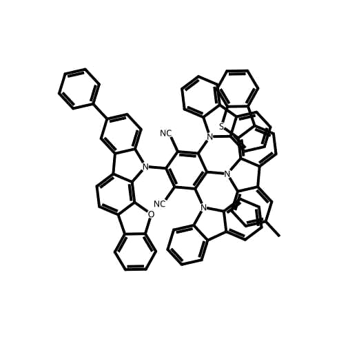 Cc1ccc2c(c1)c1ccc3c4ccccc4sc3c1n2-c1c(-n2c3ccccc3c3ccccc32)c(C#N)c(-n2c3ccc(-c4ccccc4)cc3c3ccc4c5ccccc5oc4c32)c(C#N)c1-n1c2ccccc2c2ccccc21